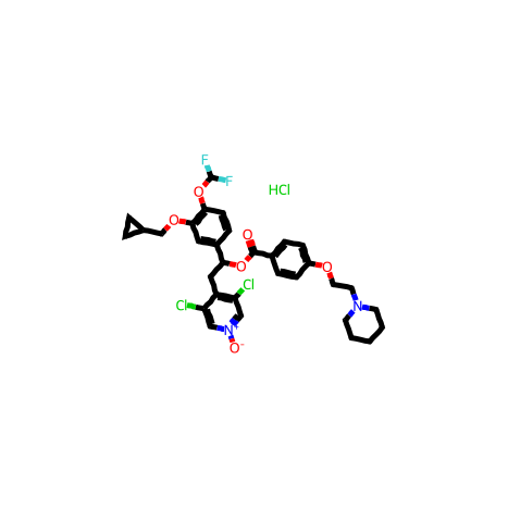 Cl.O=C(OC(Cc1c(Cl)c[n+]([O-])cc1Cl)c1ccc(OC(F)F)c(OCC2CC2)c1)c1ccc(OCCN2CCCCC2)cc1